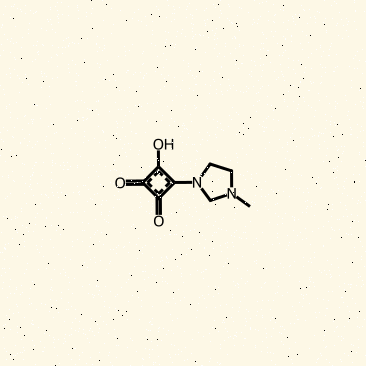 CN1CCN(c2c(O)c(=O)c2=O)C1